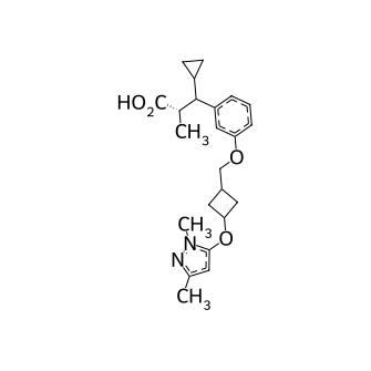 Cc1cc(OC2CC(COc3cccc(C(C4CC4)[C@H](C)C(=O)O)c3)C2)n(C)n1